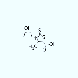 Cc1c(C(=O)O)sc(=S)n1CCC(=O)O